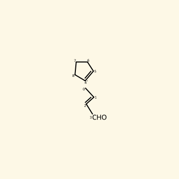 CC=CC=O.[C]1=CCCC1